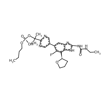 CCCCOP(=O)(O)OC(C)(C)c1ncc(-c2cc3nc(NC(=O)NCC)[nH]c3c([C@H]3CCCO3)c2F)cn1